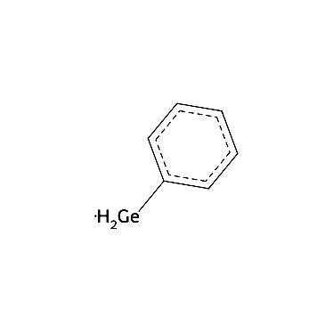 [GeH2][c]1ccccc1